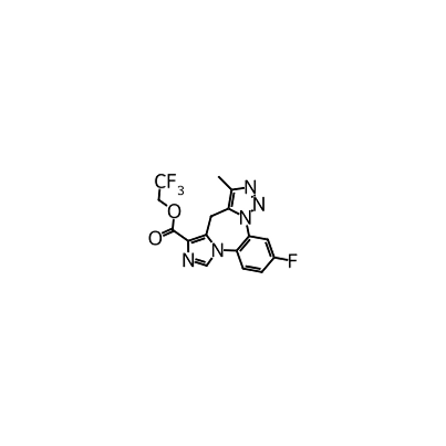 Cc1nnn2c1Cc1c(C(=O)OCC(F)(F)F)ncn1-c1ccc(F)cc1-2